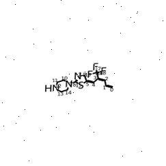 C=C/C=C(\C=C1/CN=C(N2CCNCC2)S1)C(F)(F)F